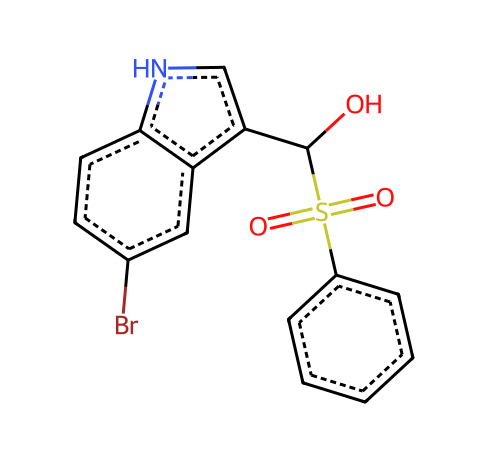 O=S(=O)(c1ccccc1)C(O)c1c[nH]c2ccc(Br)cc12